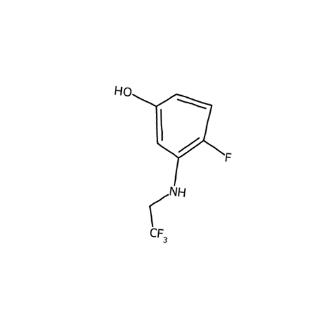 Oc1ccc(F)c(NCC(F)(F)F)c1